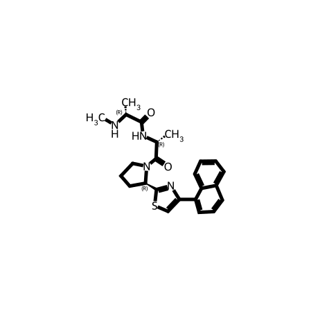 CN[C@H](C)C(=O)N[C@H](C)C(=O)N1CCC[C@@H]1c1nc(-c2cccc3ccccc23)cs1